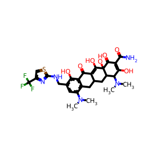 CN(C)c1cc(CNc2nc(C(F)(F)F)cs2)c(O)c2c1CC1CC3C(N(C)C)C(O)=C(C(N)=O)C(=O)C3(O)C(O)=C1C2=O